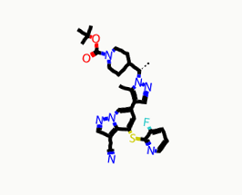 Cc1c(-c2cc(Sc3ncccc3F)c3c(C#N)cnn3c2)cnn1[C@@H](C)C1CCN(C(=O)OC(C)(C)C)CC1